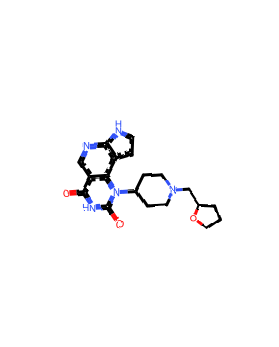 O=c1[nH]c(=O)n(C2CCN(CC3CCCO3)CC2)c2c1cnc1[nH]ccc12